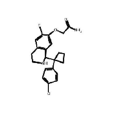 NC(=O)COc1cc2c(cc1F)CCNC2C1(c2ccc(Cl)cc2)CCC1